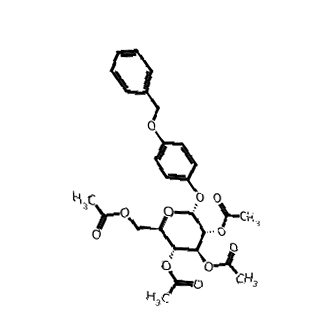 CC(=O)OC[C@H]1O[C@H](Oc2ccc(OCc3ccccc3)cc2)[C@H](OC(C)=O)[C@@H](OC(C)=O)[C@@H]1OC(C)=O